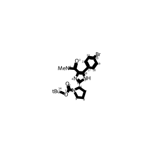 CNC(=O)c1nc([C@@H]2CCCN2C(=O)OC(C)(C)C)[nH]c1-c1ccc(Br)cc1